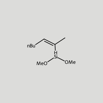 CCCCC=C(C)[SiH](OC)OC